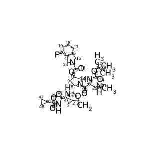 C=CC1C[C@]1(NC(=O)[C@@H]1C[C@@H](OC(=O)N2Cc3cccc(F)c3C2)CN1C(=O)[C@H](CNC)NC(=O)OC(C)(C)C)C(=O)NS(=O)(=O)C1CC1